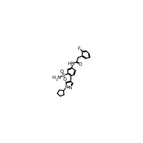 NS(=O)(=O)c1cc(NC(=O)Cc2ccccc2F)ccc1-c1cnn(C2CCCC2)c1